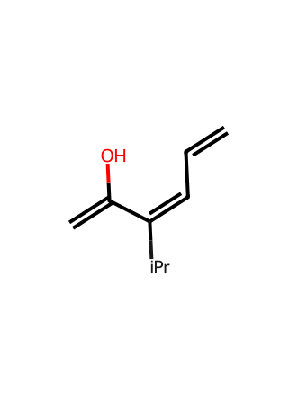 C=C/C=C(\C(=C)O)C(C)C